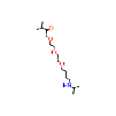 CC(C)NCCCCOCCOCCOCC(=O)C(C)C